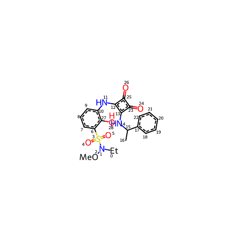 CCN(OC)S(=O)(=O)c1cccc(Nc2c(NC(C)c3ccccc3)c(=O)c2=O)c1O